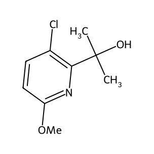 COc1ccc(Cl)c(C(C)(C)O)n1